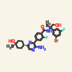 B[C@](CO)(NC(=O)c1ccc(-c2nc([C@H]3CC[C@](B)(O)CC3)cnc2N)cc1F)c1cc(F)cc(Br)c1